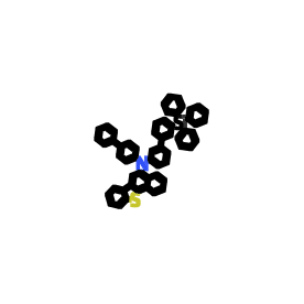 c1ccc(-c2ccc(N(c3cccc(-c4cccc([Si](c5ccccc5)(c5ccccc5)c5ccccc5)c4)c3)c3cc4c5ccccc5sc4c4ccccc34)cc2)cc1